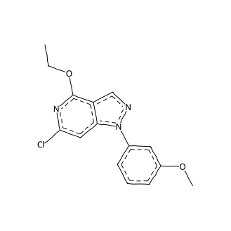 CCOc1nc(Cl)cc2c1cnn2-c1cccc(OC)c1